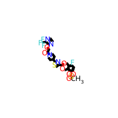 CS(=O)(=O)Oc1ccc(F)c2c1COC(c1csc(C3CCN(C(=O)COc4nccnc4C(F)(F)F)CC3)n1)OC2